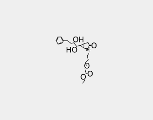 CCOC(=O)COCCCC[C@H]1C(=O)CC2C(C(O)C(O)CCc3ccccc3)C21